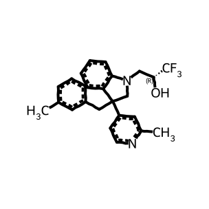 Cc1cccc(CC2(c3ccnc(C)c3)CN(C[C@@H](O)C(F)(F)F)c3ccccc32)c1